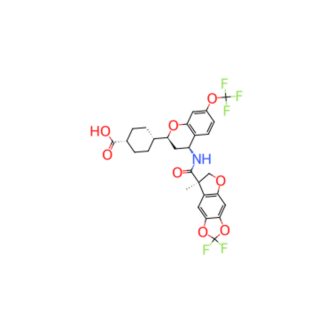 C[C@]1(C(=O)N[C@H]2C[C@@H]([C@H]3CC[C@@H](C(=O)O)CC3)Oc3cc(OC(F)(F)F)ccc32)COc2cc3c(cc21)OC(F)(F)O3